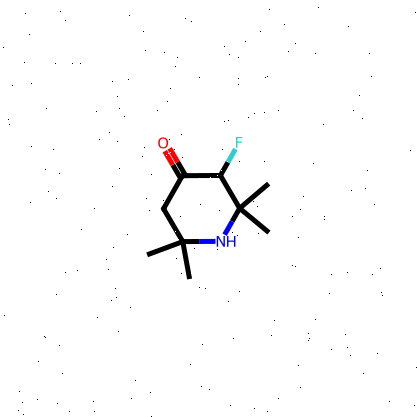 CC1(C)CC(=O)C(F)C(C)(C)N1